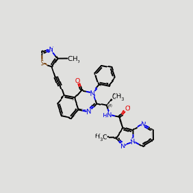 Cc1ncsc1C#Cc1cccc2nc([C@@H](C)NC(=O)c3c(C)nn4cccnc34)n(-c3ccccc3)c(=O)c12